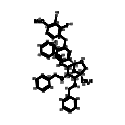 COc1ccc(Cc2cc([C@]34OC[C@](C(=O)O)(O3)[C@@H](OCc3ccccc3)[C@H](OCc3ccccc3)[C@H]4OCc3ccccc3)ccc2Cl)c(F)c1F